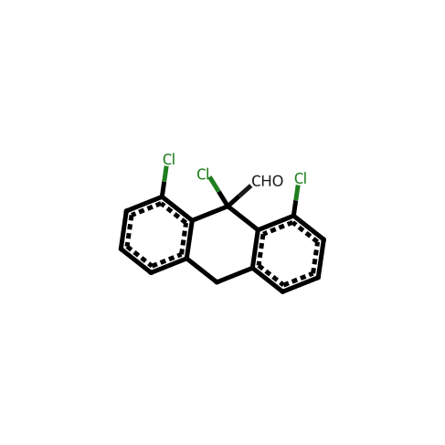 O=CC1(Cl)c2c(Cl)cccc2Cc2cccc(Cl)c21